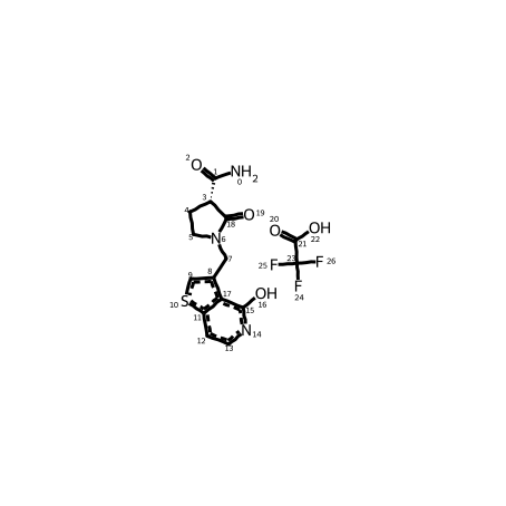 NC(=O)[C@H]1CCN(Cc2csc3ccnc(O)c23)C1=O.O=C(O)C(F)(F)F